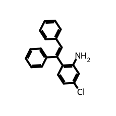 Nc1cc(Cl)ccc1C(=Cc1ccccc1)c1ccccc1